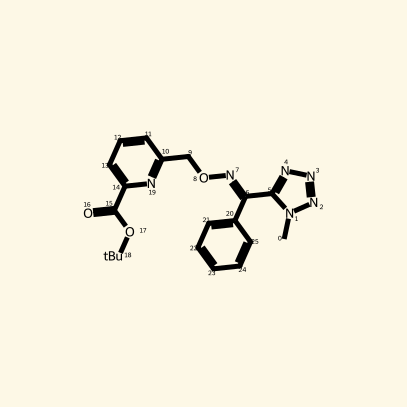 Cn1nnnc1C(=NOCc1cccc(C(=O)OC(C)(C)C)n1)c1ccccc1